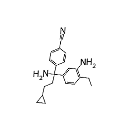 CCc1ccc(C(N)(CCC2CC2)c2ccc(C#N)cc2)cc1N